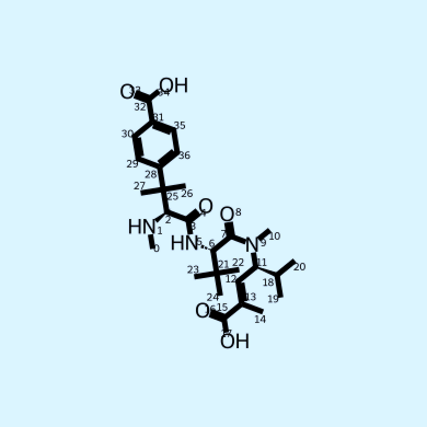 CN[C@H](C(=O)N[C@H](C(=O)N(C)[C@H](/C=C(\C)C(=O)O)C(C)C)C(C)(C)C)C(C)(C)c1ccc(C(=O)O)cc1